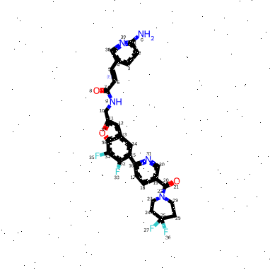 Nc1ccc(/C=C/C(=O)NCc2cc3cc(-c4ccc(C(=O)N5CCC(F)(F)CC5)cn4)c(F)c(F)c3o2)cn1